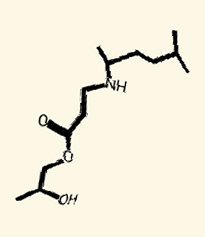 CC(C)CCC(C)NCCC(=O)OCC(C)O